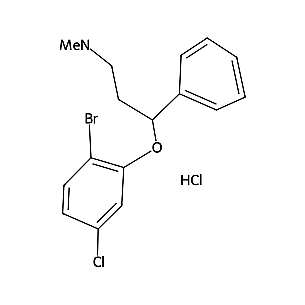 CNCCC(Oc1cc(Cl)ccc1Br)c1ccccc1.Cl